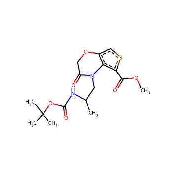 COC(=O)c1scc2c1N(CC(C)NC(=O)OC(C)(C)C)C(=O)CO2